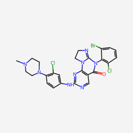 CN1CCN(c2ccc(Nc3ncc4c(n3)N3CCN=C3N(c3c(Cl)cccc3Br)C4=O)cc2Cl)CC1